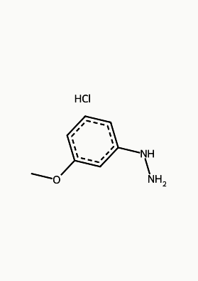 COc1cccc(NN)c1.Cl